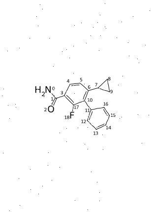 NC(=O)c1ccc(C2CC2)c(-c2ccccc2)c1F